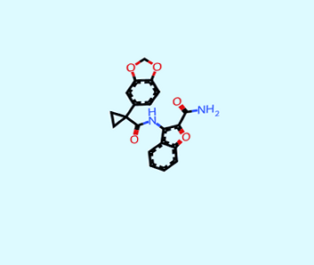 NC(=O)c1oc2ccccc2c1NC(=O)C1(c2ccc3c(c2)OCO3)CC1